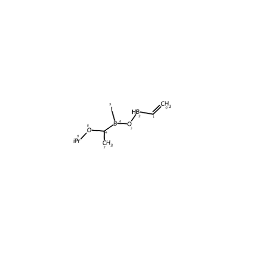 C=CBOB(I)C(C)OC(C)C